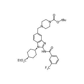 CCOC(=O)[C@H]1CC[C@@H](n2c(NC(=O)c3cccc(C(F)(F)F)c3)nc3cc(CN4CCN(C(=O)OC(C)(C)C)CC4)ccc32)CC1